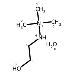 C[N+](C)(C)NCCO.O